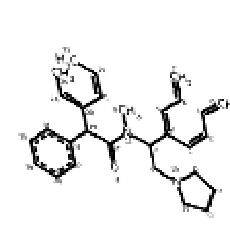 C=C/C=C\C(=C/C=C)C(CN1CCCC1)N(C)C(=O)C(C(/C=C\C)=C/C)c1ccccc1